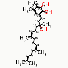 CC(C)=CCCC(C)=CCCC(C)=CCCC(C)(O)CCc1cc(C)c(C)c(O)c1O